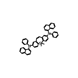 C[Si]1(C)c2ccc(N(c3ccccc3)c3cccc4ccccc34)cc2C=Cc2cc(N(c3ccccc3)c3cccc4ccccc34)ccc21